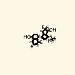 OC1CC[C@H](c2ccc(SC(F)(F)F)c3c2CC(F)(F)[C@H]3O)c2c(F)cc(F)cc21